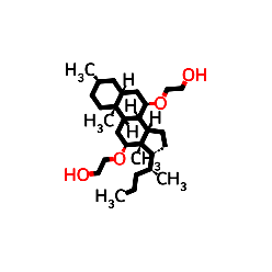 CCC[C@@H](C)[C@H]1CC[C@H]2[C@@H]3[C@H](OCCO)C[C@@H]4C[C@H](C)CC[C@]4(C)[C@H]3C[C@H](OCCO)[C@]12C